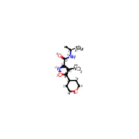 C[C@H](NC(=O)c1noc(C2CCOCC2)c1[N+](=O)[O-])C(C)(C)C